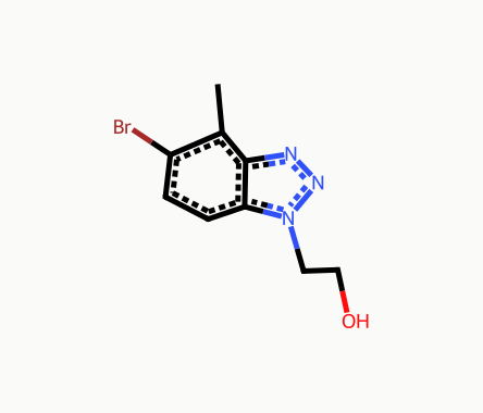 Cc1c(Br)ccc2c1nnn2CCO